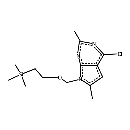 Cc1nc(Cl)c2cc(C)n(COCC[Si](C)(C)C)c2n1